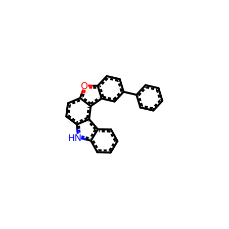 c1ccc(-c2ccc3oc4ccc5[nH]c6ccccc6c5c4c3c2)cc1